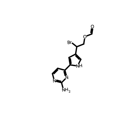 Nc1nccc(-c2cc(C(Br)COC=O)c[nH]2)n1